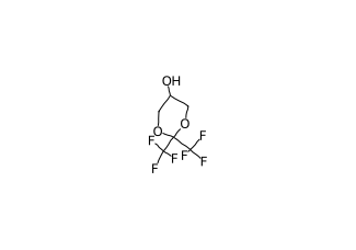 OC1COC(C(F)(F)F)(C(F)(F)F)OC1